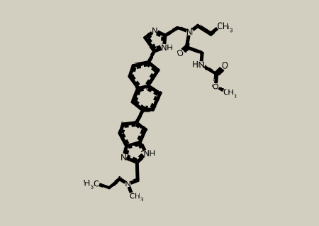 CCCN(C)Cc1nc2ccc(-c3ccc4cc(-c5cnc(CN(CCC)C(=O)CNC(=O)OC)[nH]5)ccc4c3)cc2[nH]1